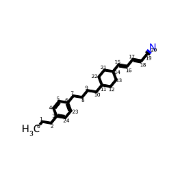 CCCc1ccc(CCCCC2CCC(C=CC=CC#N)CC2)cc1